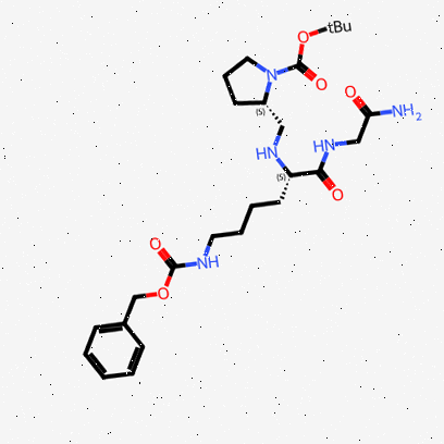 CC(C)(C)OC(=O)N1CCC[C@H]1CN[C@@H](CCCCNC(=O)OCc1ccccc1)C(=O)NCC(N)=O